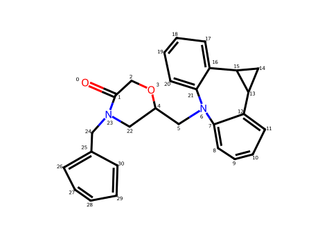 O=C1COC(CN2c3ccccc3C3CC3c3ccccc32)CN1Cc1ccccc1